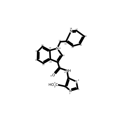 O=C(O)c1ncsc1NC(=O)c1cn(Cc2ccccn2)c2ccccc12